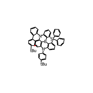 CC(C)(C)c1ccc(-c2ccccc2N2c3cccc4c3B3c5c(cccc5[Si](c5ccccc5)(c5ccccc5)c5cccc2c53)N4c2ccc(C(C)(C)C)cc2)cc1